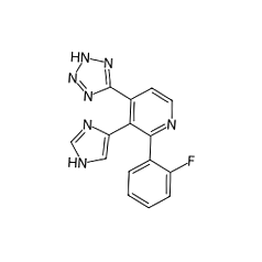 Fc1ccccc1-c1nccc(-c2nn[nH]n2)c1-c1c[nH]cn1